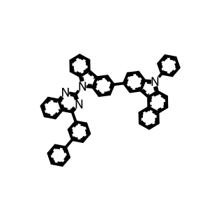 c1ccc(-c2cccc(-c3nc(-n4c5ccccc5c5cc(-c6ccc7c(c6)c6c8ccccc8ccc6n7-c6ccccc6)ccc54)nc4ccccc34)c2)cc1